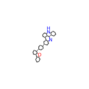 c1ccc2c(c1)Nc1cccc3c1c-2nc1ccc(-c2ccc(-c4cccc5c4oc4ccccc45)cc2)cc13